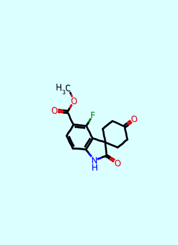 COC(=O)c1ccc2c(c1F)C1(CCC(=O)CC1)C(=O)N2